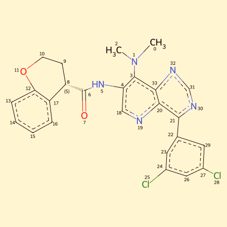 CN(C)c1c(NC(=O)[C@H]2CCOc3ccccc32)cnc2c(-c3cc(Cl)cc(Cl)c3)ncnc12